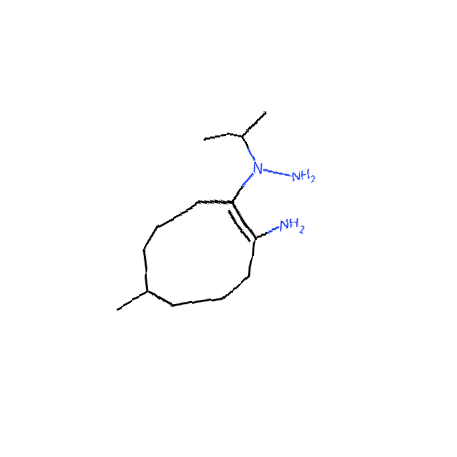 CC1CCC/C(N)=C(/N(N)C(C)C)CCC1